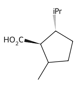 CC1CC[C@@H](C(C)C)[C@@H]1C(=O)O